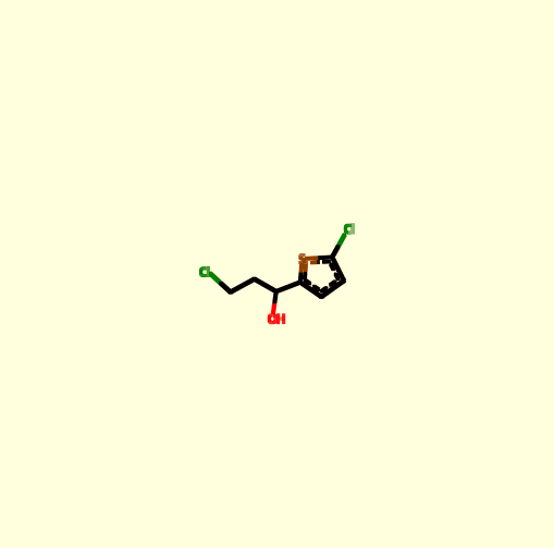 OC(CCCl)c1ccc(Cl)s1